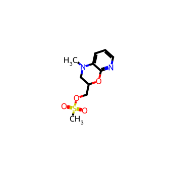 CN1CC(COS(C)(=O)=O)Oc2ncccc21